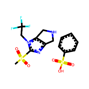 CS(=O)(=O)c1nc2c(n1CC(F)(F)F)CNC2.O=S(=O)(O)c1ccccc1